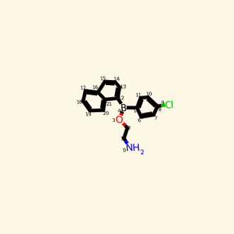 NCCOB(c1ccc(Cl)cc1)c1cccc2ccccc12